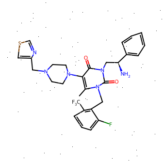 Cc1c(N2CCN(Cc3cscn3)CC2)c(=O)n(C[C@H](N)c2ccccc2)c(=O)n1Cc1c(F)cccc1C(F)(F)F